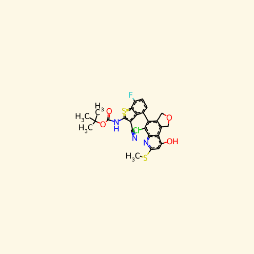 CSc1cc(O)c2c3c(c(-c4ccc(F)c5sc(NC(=O)OC(C)(C)C)c(C#N)c45)c(Cl)c2n1)COC3